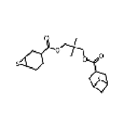 CC(C)(COC(=O)C1CC2CC(C1)S2)COC(=O)C1CCC2SC2C1